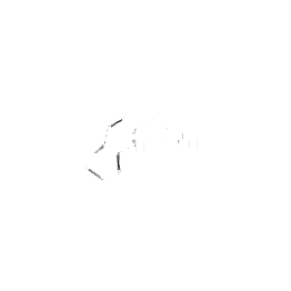 [CH3][Sn]([CH3])([CH3])[CH2]c1ccc2ccccc2c1